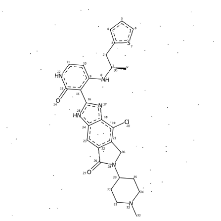 C[C@H](Cc1cccs1)Nc1cc[nH]c(=O)c1-c1nc2c(Cl)c3c(cc2[nH]1)C(=O)N(C1CCN(C)CC1)C3